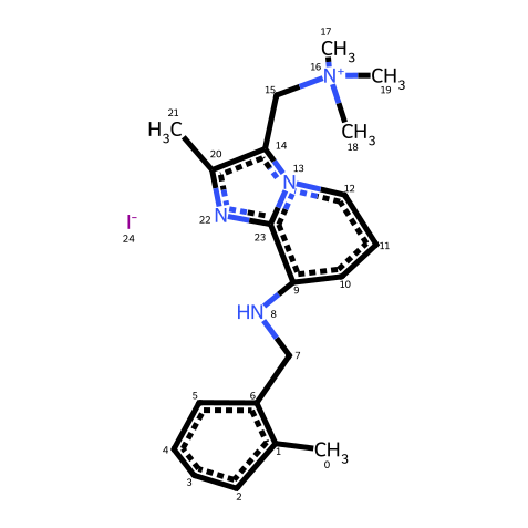 Cc1ccccc1CNc1cccn2c(C[N+](C)(C)C)c(C)nc12.[I-]